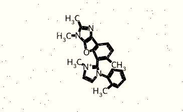 Cc1ccccc1-n1cc[n+](C)c1-c1c(C)ccc2c1oc1c2nc(C)n1C